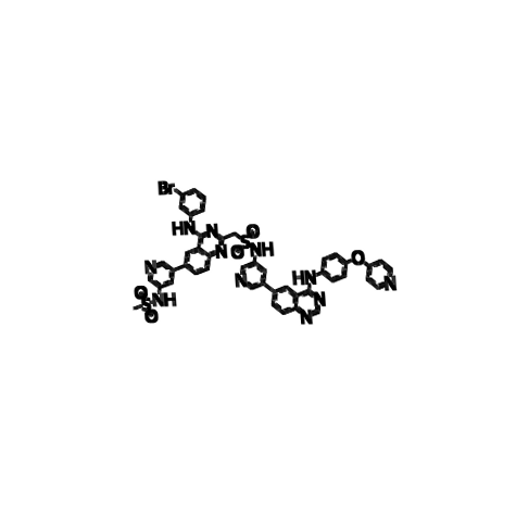 CS(=O)(=O)Nc1cncc(-c2ccc3nc(CS(=O)(=O)Nc4cncc(-c5ccc6ncnc(Nc7ccc(Oc8ccncc8)cc7)c6c5)c4)nc(Nc4cccc(Br)c4)c3c2)c1